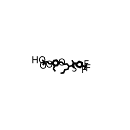 CCCCC(CCOc1ccc(OCC(=O)O)c(CC)c1)c1sc2cc(C(F)(F)F)ccc2c1C